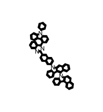 c1ccc(-n2c3ccccc3c3c(-c4nc(-c5ccc6cc(-n7c8ccccc8c8c(-n9c%10ccccc%10c%10c%11ccccc%11ccc%109)c9ccccc9cc87)ccc6c5)nc5ccccc45)cccc32)cc1